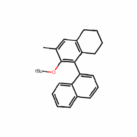 Cc1cc2c(c(-c3cccc4ccccc34)c1OC(C)(C)C)CCCC2